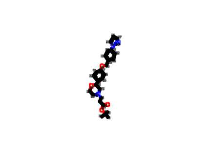 CC(C)(C)OC(=O)CCN1CCOC(c2ccc(OCc3ccc(-n4cccn4)cc3)cc2)C1